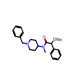 COC(C(=O)N(C)C1CCN(Cc2ccccc2)CC1)c1ccccc1